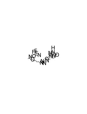 CCN1C(=O)CNc2ncc(-c3ccc(-c4ncn(CCCCCOC[C@@H](C)N(C)c5ccc(C#N)c(C(F)(F)F)c5)n4)nc3C)nc21